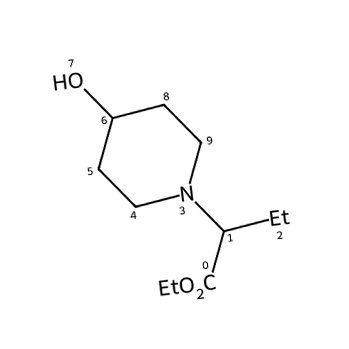 CCOC(=O)C(CC)N1CCC(O)CC1